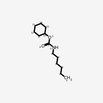 CCCCCCNC(=O)OC1CCCCC1